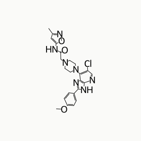 COc1ccc(-c2nc3c(N4CCN(CC(=O)Nc5cc(C)no5)CC4)c(Cl)cnc3[nH]2)cc1